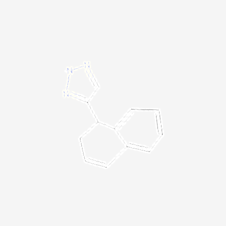 C1=Cc2ccccc2C(C2=N[N]N=C2)C1